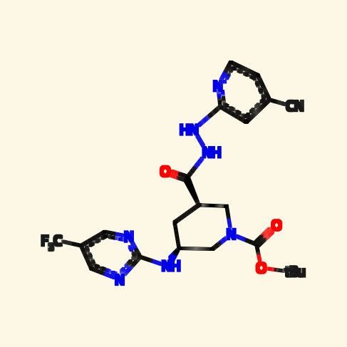 CC(C)(C)OC(=O)N1C[C@@H](Nc2ncc(C(F)(F)F)cn2)C[C@@H](C(=O)NNc2cc(C#N)ccn2)C1